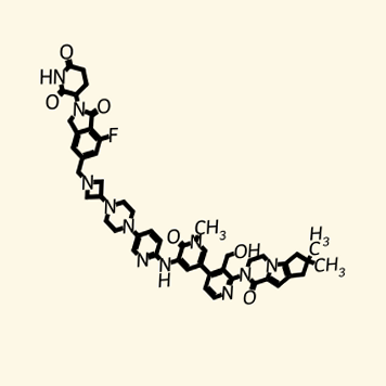 Cn1cc(-c2ccnc(N3CCn4c(cc5c4CC(C)(C)C5)C3=O)c2CO)cc(Nc2ccc(N3CCN(C4CN(Cc5cc(F)c6c(c5)CN(C5CCC(=O)NC5=O)C6=O)C4)CC3)cn2)c1=O